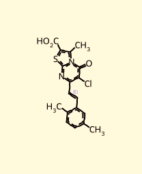 Cc1ccc(C)c(/C=C/c2nc3sc(C(=O)O)c(C)n3c(=O)c2Cl)c1